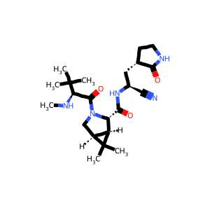 CN[C@H](C(=O)N1C[C@H]2[C@@H]([C@H]1C(=O)N[C@H](C#N)C[C@@H]1CCNC1=O)C2(C)C)C(C)(C)C